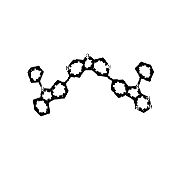 c1ccc(-n2c3ccccc3c3ccc(-c4cc5c(cn4)oc4cnc(-c6ccc7c8ncnnc8n(-c8ccccc8)c7c6)cc45)cc32)cc1